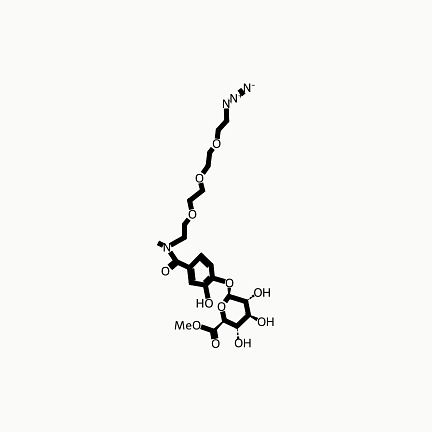 COC(=O)[C@H]1O[C@@H](Oc2ccc(C(=O)N(C)CCOCCOCCOCCN=[N+]=[N-])cc2O)[C@H](O)[C@@H](O)[C@@H]1O